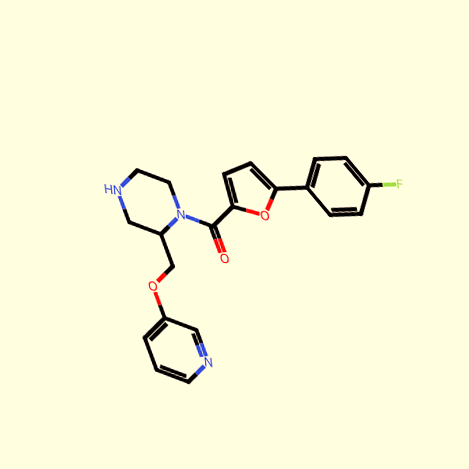 O=C(c1ccc(-c2ccc(F)cc2)o1)N1CCNCC1COc1cccnc1